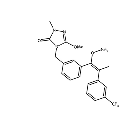 COc1nn(C)c(=O)n1Cc1cccc(C(ON)=C(C)c2cccc(C(F)(F)F)c2)c1